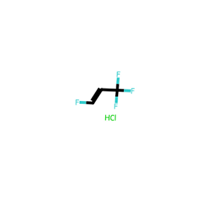 Cl.FC=CC(F)(F)F